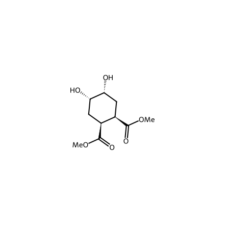 COC(=O)[C@H]1C[C@H](O)[C@H](O)C[C@H]1C(=O)OC